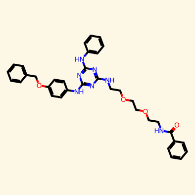 O=C(NCCOCCOCCNc1nc(Nc2ccccc2)nc(Nc2ccc(OCc3ccccc3)cc2)n1)c1ccccc1